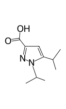 CC(C)c1cc(C(=O)O)nn1C(C)C